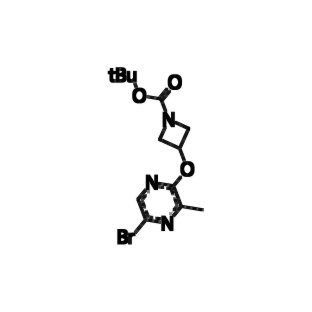 Cc1nc(Br)cnc1OC1CN(C(=O)OC(C)(C)C)C1